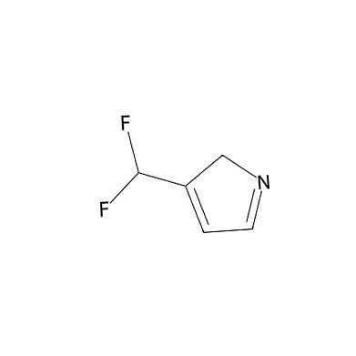 FC(F)C1=CC=NC1